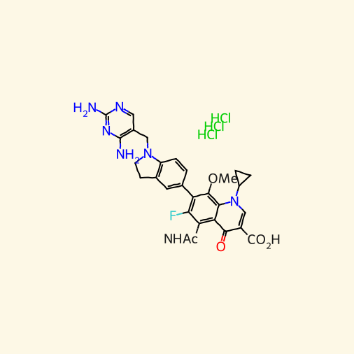 COc1c(-c2ccc3c(c2)CCN3Cc2cnc(N)nc2N)c(F)c(NC(C)=O)c2c(=O)c(C(=O)O)cn(C3CC3)c12.Cl.Cl.Cl